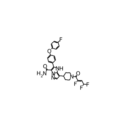 NC(=O)c1c(-c2ccc(Oc3ccc(F)cc3)cc2)[nH]c2c(C3CCN(C(=O)C(F)=CC(F)F)CC3)cnn12